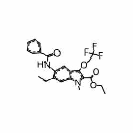 CCOC(=O)c1c(OCC(F)(F)F)c2cc(NC(=O)c3ccccc3)c(CC)cc2n1C